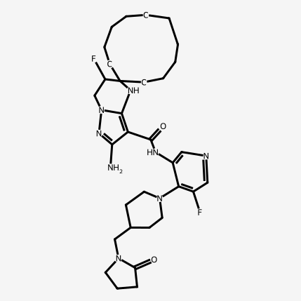 Nc1nn2c(c1C(=O)Nc1cncc(F)c1N1CCC(CN3CCCC3=O)CC1)NC1(CCCCCCCCCC1)C(F)C2